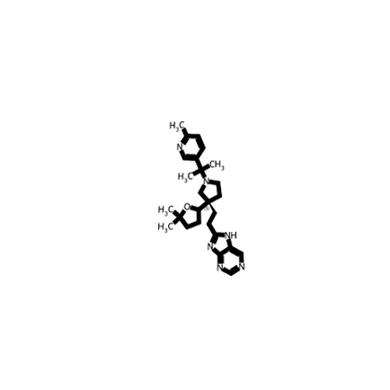 Cc1ccc(C(C)(C)N2CC[C@](CCc3nc4ncncc4[nH]3)(C3CCC(C)(C)O3)C2)cn1